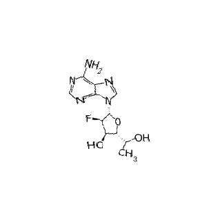 CC(O)[C@H]1O[C@@H](n2cnc3c(N)ncnc32)[C@H](F)[C@@H]1O